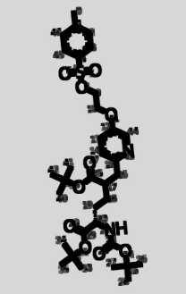 Cc1ccc(S(=O)(=O)OCCOc2ccc(CC(CC[C@H](NC(=O)OC(C)(C)C)C(=O)OC(C)(C)C)C(=O)OC(C)(C)C)nc2)cc1